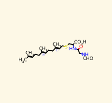 CC(C)=CCC/C(C)=C/CC/C(C)=C/CSCC(NC(=O)CNC=O)C(=O)O